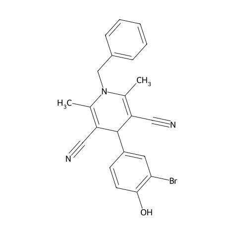 CC1=C(C#N)C(c2ccc(O)c(Br)c2)C(C#N)=C(C)N1Cc1ccccc1